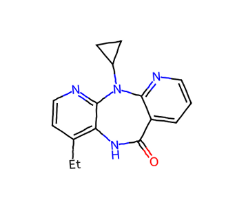 CCc1ccnc2c1NC(=O)c1cccnc1N2C1CC1